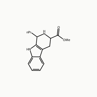 CCCC1NC(C(=O)OC)Cc2c1[nH]c1ccccc21